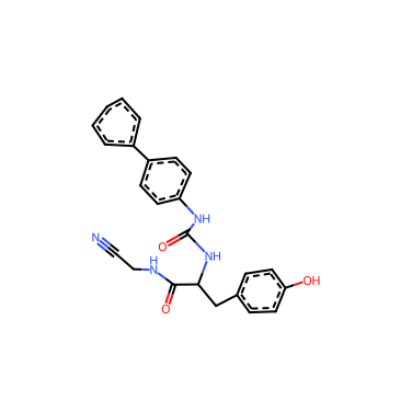 N#CCNC(=O)C(Cc1ccc(O)cc1)NC(=O)Nc1ccc(-c2ccccc2)cc1